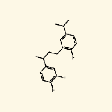 CC(C)c1ccc(F)c(CCC(C)c2ccc(F)c(F)c2)c1